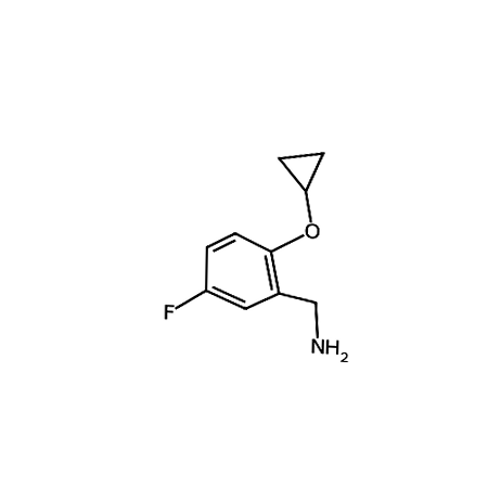 NCc1cc(F)ccc1OC1CC1